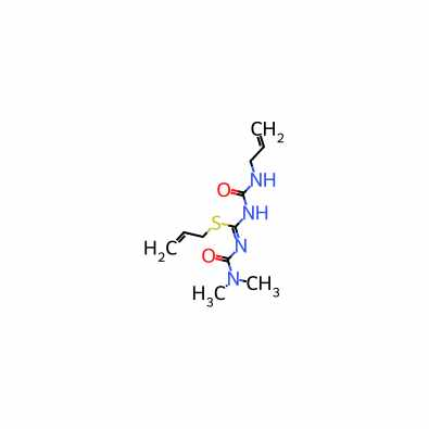 C=CCNC(=O)NC(=NC(=O)N(C)C)SCC=C